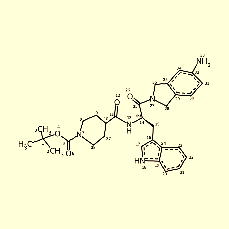 CC(C)(C)OC(=O)N1CCC(C(=O)N[C@H](Cc2c[nH]c3ccccc23)C(=O)N2Cc3ccc(N)cc3C2)CC1